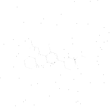 CCC(CC(=O)OC)c1cc(N)c(N(CC(C)C)C2CCCCC2)c(F)c1